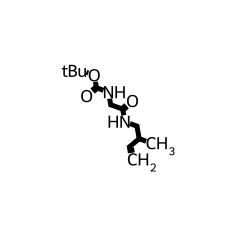 C=CC(C)CNC(=O)CNC(=O)OC(C)(C)C